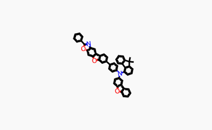 CC1(C)c2ccccc2-c2c(N(c3ccc(-c4ccc5c(c4)oc4cc6oc(-c7ccccc7)nc6cc45)cc3)c3ccc4oc5ccccc5c4c3)cccc21